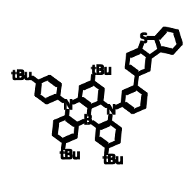 CC(C)(C)c1ccc(N2c3ccc(C(C)(C)C)cc3B3c4cc(C(C)(C)C)ccc4N(c4cccc(-c5ccc6sc7ccccc7c6c5)c4)c4cc(C(C)(C)C)cc2c43)cc1